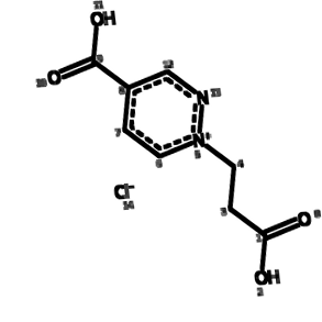 O=C(O)CC[n+]1ccc(C(=O)O)cn1.[Cl-]